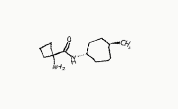 C[C@H]1CC[C@H](NC(=O)C2(N)CCC2)CC1